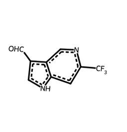 O=Cc1c[nH]c2cc(C(F)(F)F)ncc12